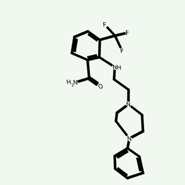 NC(=O)c1cccc(C(F)(F)F)c1NCCN1CCN(c2ccccc2)CC1